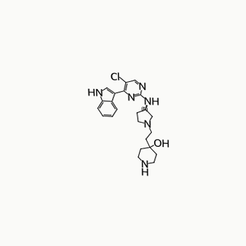 OC1(CCN2CC[C@@H](Nc3ncc(Cl)c(-c4c[nH]c5ccccc45)n3)C2)CCNCC1